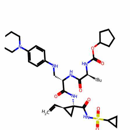 C=C[C@@H]1C[C@]1(NC(=O)[C@H](CNc1ccc(N2CCCCC2)cc1)NC(=O)[C@@H](NC(=O)OC1CCCC1)C(C)(C)C)C(=O)NS(=O)(=O)C1CC1